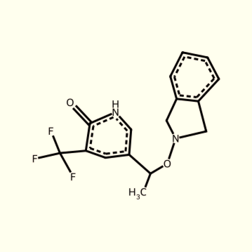 CC(ON1Cc2ccccc2C1)c1c[nH]c(=O)c(C(F)(F)F)c1